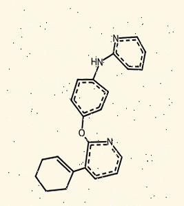 C1=C(c2cccnc2Oc2ccc(Nc3ccccn3)cc2)CCCC1